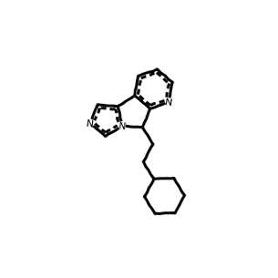 c1cnc2c(c1)-c1cncn1C2CCC1CCCCC1